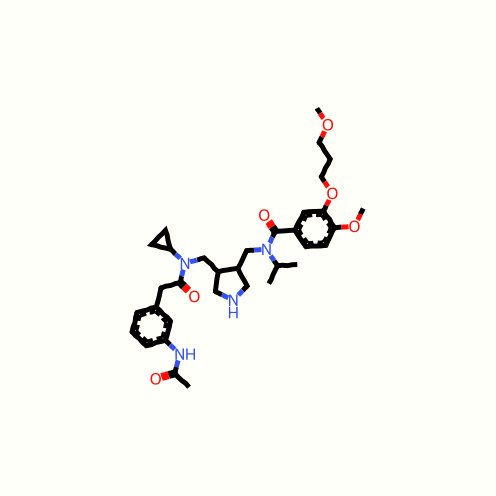 COCCCOc1cc(C(=O)N(CC2CNCC2CN(C(=O)Cc2cccc(NC(C)=O)c2)C2CC2)C(C)C)ccc1OC